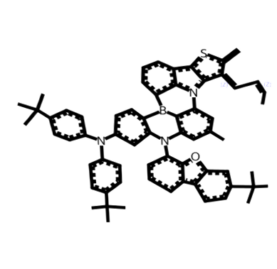 C=c1sc2c3cccc4c3n(c2/c1=C/C=C\C)-c1cc(C)cc2c1B4c1ccc(N(c3ccc(C(C)(C)C)cc3)c3ccc(C(C)(C)C)cc3)cc1N2c1cccc2c1oc1cc(C(C)(C)C)ccc12